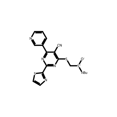 CCCC[S+]([O-])CSc1nc(-c2nccs2)nc(-c2cccnc2)c1C#N